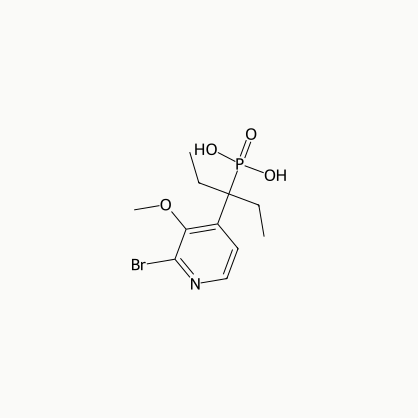 CCC(CC)(c1ccnc(Br)c1OC)P(=O)(O)O